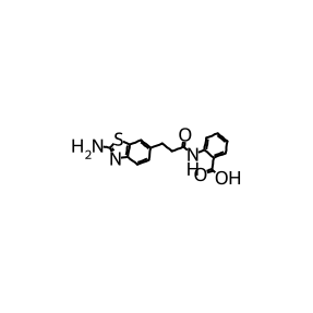 Nc1nc2ccc(CCC(=O)Nc3ccccc3C(=O)O)cc2s1